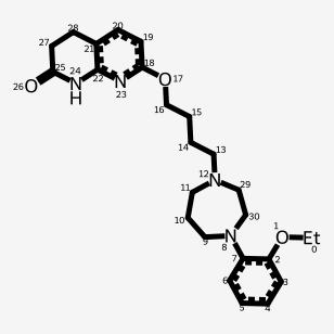 CCOc1ccccc1N1CCCN(CCCCOc2ccc3c(n2)NC(=O)CC3)CC1